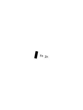 C=C.[Fe].[Zn]